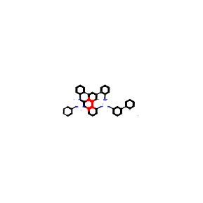 N#Cc1ccccc1-c1cccc(-c2nc(-c3ccccc3)nc(-c3ccccc3-c3cccc(-c4ccccc4-c4nc(C5=CCCC=C5)nc5ccccc45)c3)n2)c1